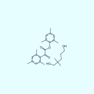 CC(C)(CO)CCCO.Cc1cc(C)c(OC(=O)C(=O)c2c(C)cc(C)cc2C)c(C)c1